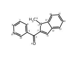 Cn1c(C(=O)c2cccnc2)cc2ccccc21